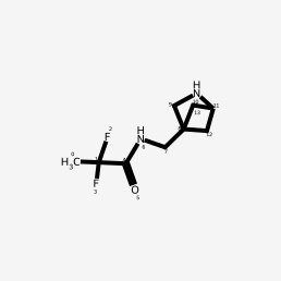 CC(F)(F)C(=O)NCC12CNC(C1)C2